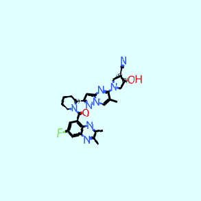 Cc1cn2nc([C@@H]3CCCCN3C(=O)c3cc(F)cc4nc(C)c(C)nc34)cc2nc1N1C[C@@H](C#N)[C@@H](O)C1